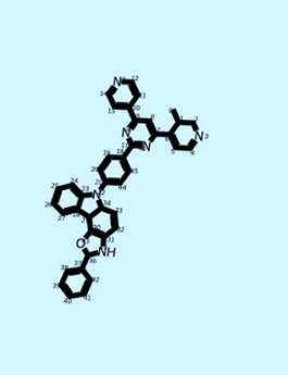 CC1CN=CC=C1c1cc(-c2ccncc2)nc(-c2ccc(N3c4ccccc4C4C5=C(C=CC43)NC(c3ccccc3)O5)cc2)n1